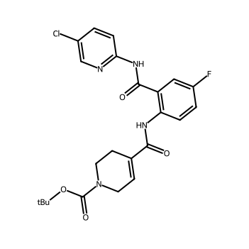 CC(C)(C)OC(=O)N1CC=C(C(=O)Nc2ccc(F)cc2C(=O)Nc2ccc(Cl)cn2)CC1